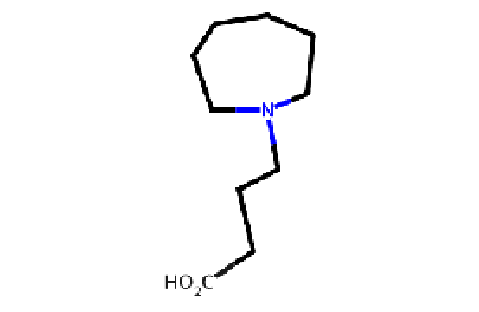 O=C(O)CCCN1CCCCCC1